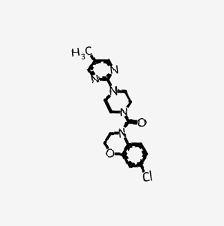 Cc1cnc(N2CCN(C(=O)N3CCOc4cc(Cl)ccc43)CC2)nc1